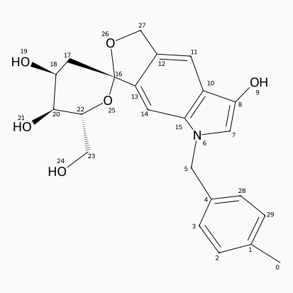 Cc1ccc(Cn2cc(O)c3cc4c(cc32)[C@@]2(C[C@H](O)[C@H](O)[C@@H](CO)O2)OC4)cc1